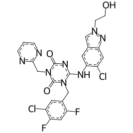 O=c1nc(Nc2cc3cn(CCO)nc3cc2Cl)n(Cc2cc(Cl)c(F)cc2F)c(=O)n1Cc1ncccn1